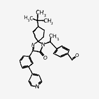 CC(c1ccc(C=O)cc1)N1C(=O)C(c2cccc(-c3ccncc3)c2)=NC12CCC(C(C)(C)C)CC2